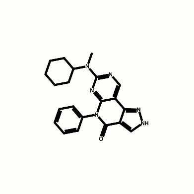 CN(c1ncc2c3n[nH]cc3c(=O)n(-c3ccccc3)c2n1)C1CCCCC1